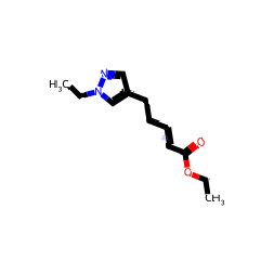 CCOC(=O)/C=C/CCc1cnn(CC)c1